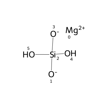 [Mg+2].[O-][Si]([O-])(O)O